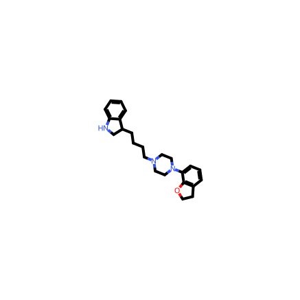 c1ccc2c(c1)NCC2CCCCN1CCN(c2cccc3c2OCC3)CC1